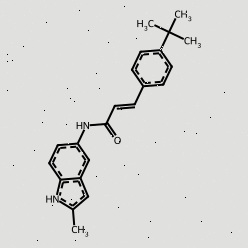 Cc1cc2cc(NC(=O)/C=C/c3ccc(C(C)(C)C)cc3)ccc2[nH]1